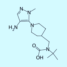 Cn1ncc(N)c1N1CCC(CN(C(=O)O)C(C)(C)C)CC1